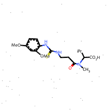 COc1ccc(NC(=S)NCCC(=O)N(C)C(C(=O)O)C(C)C)c(OC)c1